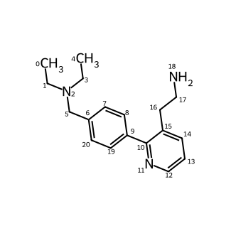 CCN(CC)Cc1ccc(-c2ncccc2CCN)cc1